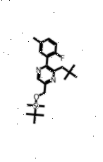 Cc1ccc(F)c(-c2ncc(CO[Si](C)(C)C(C)(C)C)nc2CC(C)(C)C)c1